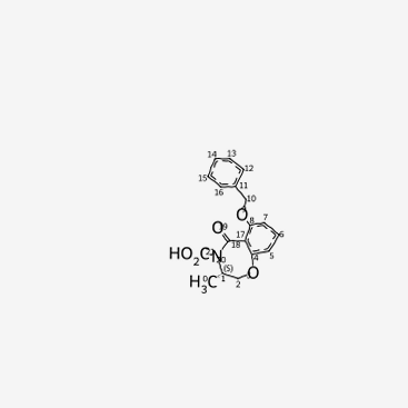 C[C@H]1COc2cccc(OCc3ccccc3)c2C(=O)N1C(=O)O